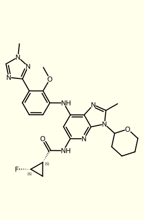 COc1c(Nc2cc(NC(=O)[C@@H]3C[C@@H]3F)nc3c2nc(C)n3C2CCCCO2)cccc1-c1ncn(C)n1